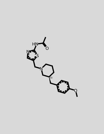 COc1ccc(C[C@@H]2CCCN(Cc3cnc(NC(C)=O)s3)C2)cc1